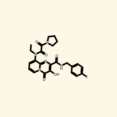 CCN(C(=O)C(=O)N1CCCC1)c1cccn2c(=O)c(O)c(C(=O)NCc3ccc(F)cc3)nc12